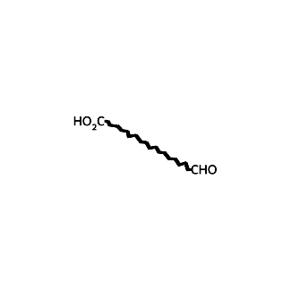 O=CC=CC=CC=CC=CC=CC=CC=CC=CC=CC(=O)O